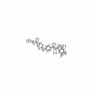 CC(C)(C)OC(=O)N1CCC(Oc2ccc(C(=O)Nc3c[nH]c4cc(F)c(F)cc34)cc2)CC1